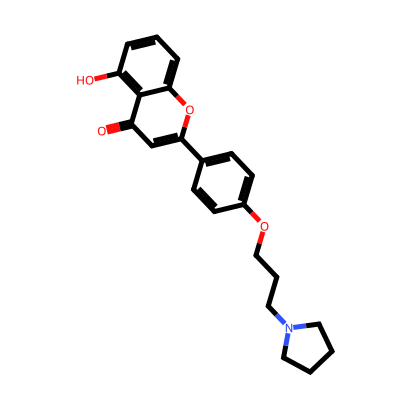 O=c1cc(-c2ccc(OCCCN3CCCC3)cc2)oc2cccc(O)c12